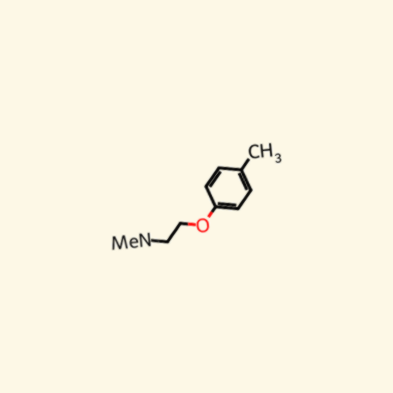 CNCCOc1ccc(C)cc1